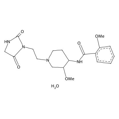 COc1ccccc1C(=O)NC1CCN(CCN2C(=O)CNC2=O)CC1OC.O